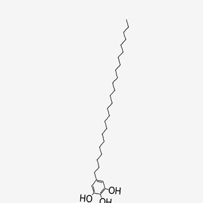 CCCCCCCCCCCCCCCCCCCCCCCCCc1cc(O)c(O)c(O)c1